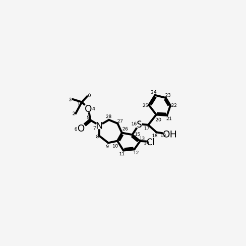 CC(C)(C)OC(=O)N1CCc2ccc(Cl)c(SC(CO)c3ccccc3)c2CC1